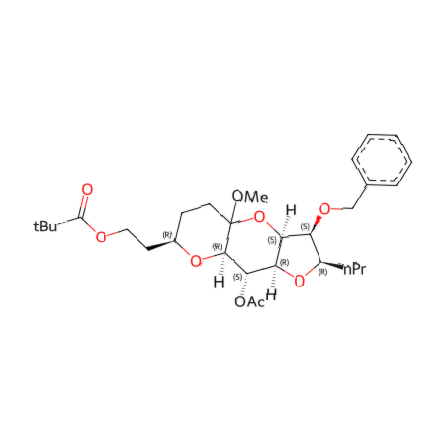 [CH2][CH]C[C@H]1O[C@@H]2[C@@H](OC3(OC)CC[C@H](CCOC(=O)C(C)(C)C)O[C@@H]3[C@H]2OC(C)=O)[C@H]1OCc1ccccc1